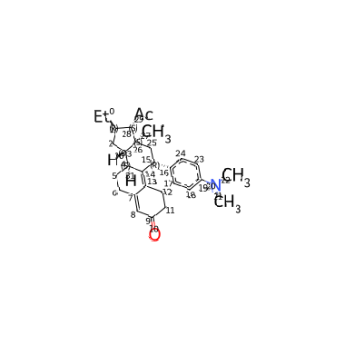 CC[C@@H]1C[C@H]2[C@@H]3CCC4=CC(=O)CCC4=C3[C@@H](c3ccc(N(C)C)cc3)C[C@]2(C)[C@H]1C(C)=O